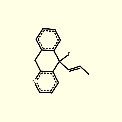 C/C=C/C1(F)c2ccccc2Cc2ncccc21